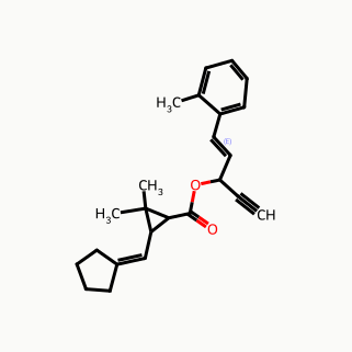 C#CC(/C=C/c1ccccc1C)OC(=O)C1C(C=C2CCCC2)C1(C)C